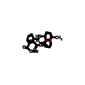 COC(=O)C1=C(C(=O)OC)C2([C@@H](Cc3ccccc3)Nc3ccc(C)cc3)C=CC1O2